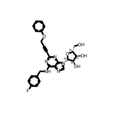 OC[C@H]1O[C@@H](n2cnc3c(NCc4ccc(F)cc4)nc(C#CCOc4ccccc4)nc32)[C@H](O)[C@@H]1O